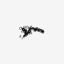 Cc1nccn1Cc1ccc(NC(=O)C(=O)NCC[C@H](NC(=O)c2ccc(Nc3nc(NC4(c5ccc(Cl)cc5)CC4)nc(OCC(F)(F)F)n3)cc2)C(=O)O)cc1